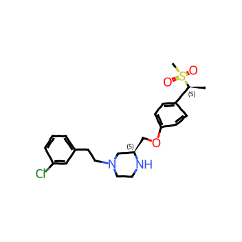 C[C@@H](c1ccc(OC[C@@H]2CN(CCc3cccc(Cl)c3)CCN2)cc1)S(C)(=O)=O